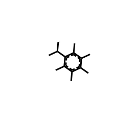 [CH2]C(C)c1c(C)c(C)c(C)c(C)c1C